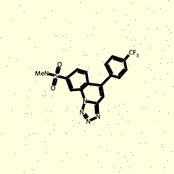 CNS(=O)(=O)c1ccc2c(-c3ccc(C(F)(F)F)cc3)cc3nnnn3c2c1